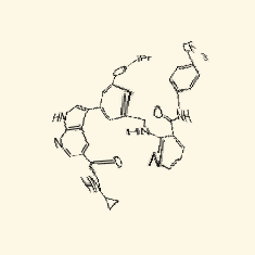 CC(C)Oc1cc(CNc2ncccc2C(=O)Nc2ccc(C(F)(F)F)cc2)cc(-c2c[nH]c3ncc(C(=O)NC4CC4)cc23)c1